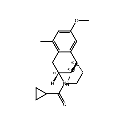 COc1cc(C)c2c(c1)[C@]13CCN(C(=O)C4CC4)[C@H](C2)[C@@H]1OCOC3